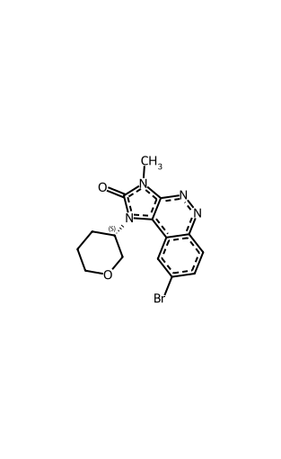 Cn1c(=O)n([C@H]2CCCOC2)c2c3cc(Br)ccc3nnc21